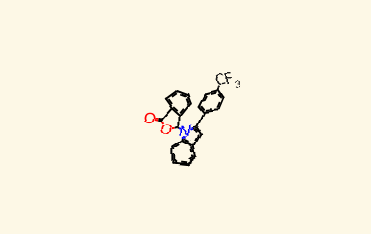 O=C1OC(n2c(-c3ccc(C(F)(F)F)cc3)cc3ccccc32)c2ccccc21